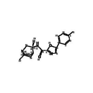 Cc1ccc(-c2cnc(C(=O)N[C@H]3CN4CCC3CC4C)o2)cc1